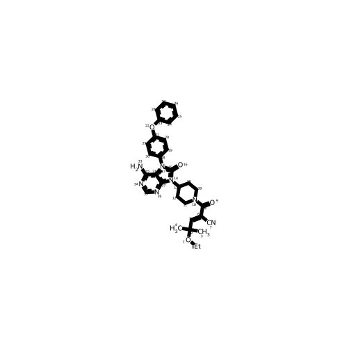 CCOC(C)(C)C=C(C#N)C(=O)N1CCC(n2c(=O)n(-c3ccc(Oc4ccccc4)cc3)c3c(N)ncnc32)CC1